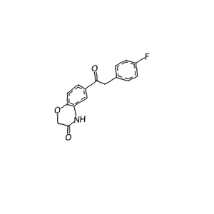 O=C1COc2ccc(C(=O)Cc3ccc(F)cc3)cc2N1